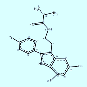 C[C@H](N)C(=O)NCCc1c(-c2ccc(F)cc2)[nH]c2c(F)cc(F)cc12